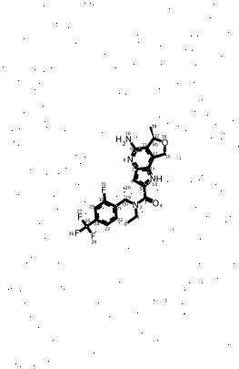 CCN(C(=O)c1cc2nc(N)c3c(c2[nH]1)CO[C@@H]3C)[C@@H](C)c1ccc(C(F)(F)F)cc1F